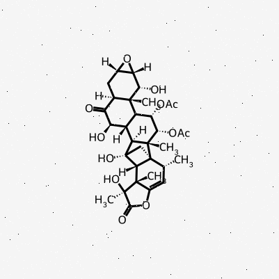 CC(=O)O[C@H]1C2[C@H]([C@@H]3[C@@]4(O)C[C@@]5([C@H](C)C=C6OC(=O)[C@@](C)(O)[C@]6(C)[C@H]45)[C@@]3(C)[C@H]1OC(C)=O)[C@@H](O)C(=O)[C@H]1C[C@@H]3O[C@@H]3[C@H](O)[C@]21C